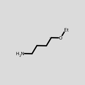 CCO[CH]CCCN